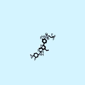 CCc1cc(-c2ccc(NS(=O)(=O)CCC(F)(F)F)c(F)c2)nc2cnc(NC3CCC(N(C)C)C(F)C3)nc12